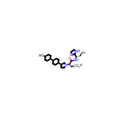 CC(C)C[C@H](NC(=O)[C@@H](CC(=O)O)n1ccc(-c2ccc(-c3ccc(C#N)cc3)cc2)c1)c1ncc[nH]1